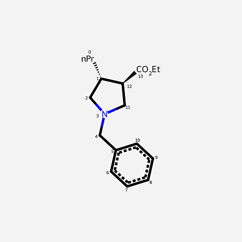 CCC[C@H]1CN(Cc2ccccc2)C[C@@H]1C(=O)OCC